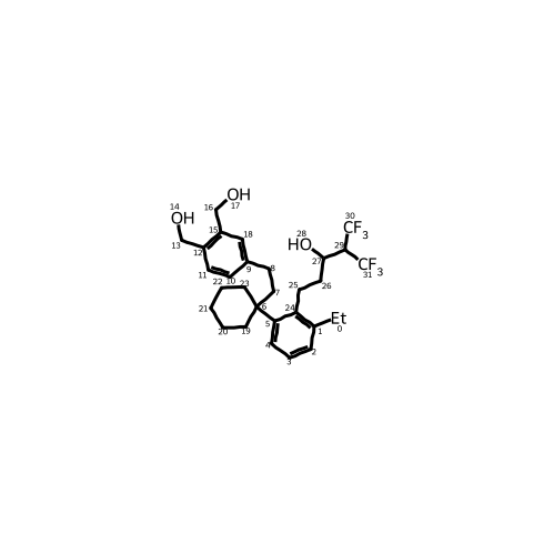 CCc1cccc(C2(CCc3ccc(CO)c(CO)c3)CCCCC2)c1CCC(O)C(C(F)(F)F)C(F)(F)F